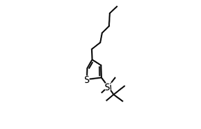 CCCCCCc1csc([Si](C)(C)C(C)(C)C)c1